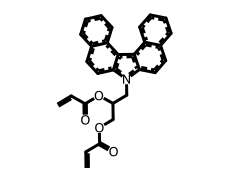 C=CC(=O)OCC(Cn1c2ccc3ccccc3c2c2c3ccccc3ccc21)OC(=O)C=C